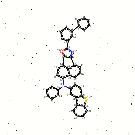 c1ccc(-c2cccc(-c3nc4c(o3)-c3ccc(N(c5ccccc5)c5ccc6sc7ccccc7c6c5)c5cccc-4c35)c2)cc1